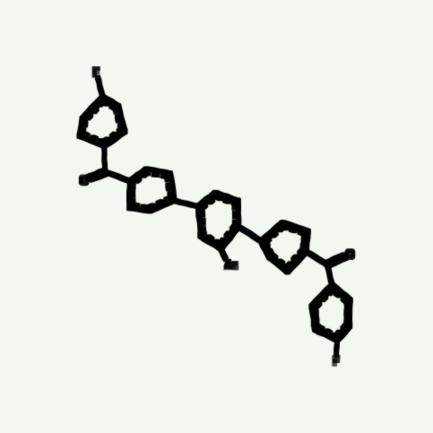 CC(=O)c1cc(-c2ccc(C(=O)c3ccc(F)cc3)cc2)ccc1-c1ccc(C(=O)c2ccc(F)cc2)cc1